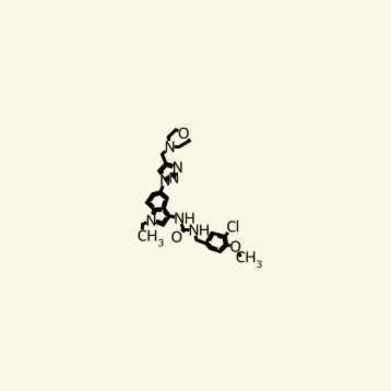 CCn1cc(NC(=O)NCc2ccc(OC)c(Cl)c2)c2cc(-n3cc(CN4CCOCC4)nn3)ccc21